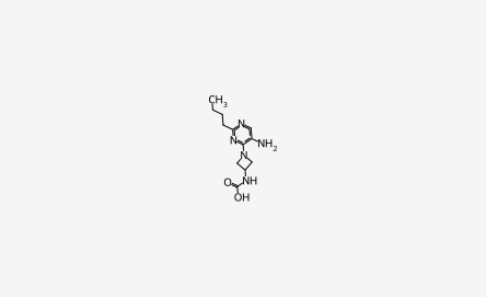 CCCCc1ncc(N)c(N2CC(NC(=O)O)C2)n1